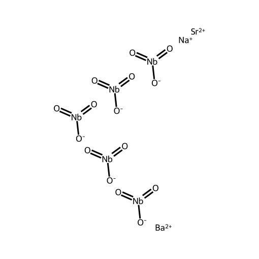 [Ba+2].[Na+].[O]=[Nb](=[O])[O-].[O]=[Nb](=[O])[O-].[O]=[Nb](=[O])[O-].[O]=[Nb](=[O])[O-].[O]=[Nb](=[O])[O-].[Sr+2]